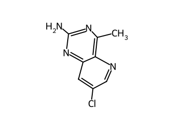 Cc1nc(N)nc2cc(Cl)cnc12